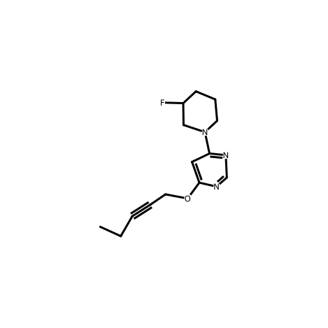 CCC#CCOc1cc(N2CCCC(F)C2)ncn1